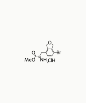 COC(=O)[C@@H](N)Cc1ccc(Br)c2c1COC2.Cl